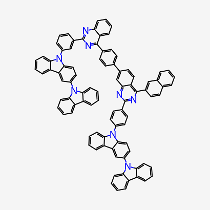 c1cc(-c2nc(-c3ccc(-c4ccc5c(-c6ccc7ccccc7c6)nc(-c6ccc(-n7c8ccccc8c8cc(-n9c%10ccccc%10c%10ccccc%109)ccc87)cc6)nc5c4)cc3)c3ccccc3n2)cc(-n2c3ccccc3c3cc(-n4c5ccccc5c5ccccc54)ccc32)c1